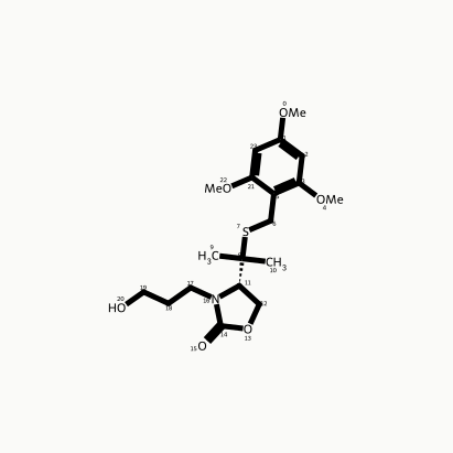 COc1cc(OC)c(CSC(C)(C)[C@@H]2COC(=O)N2CCCO)c(OC)c1